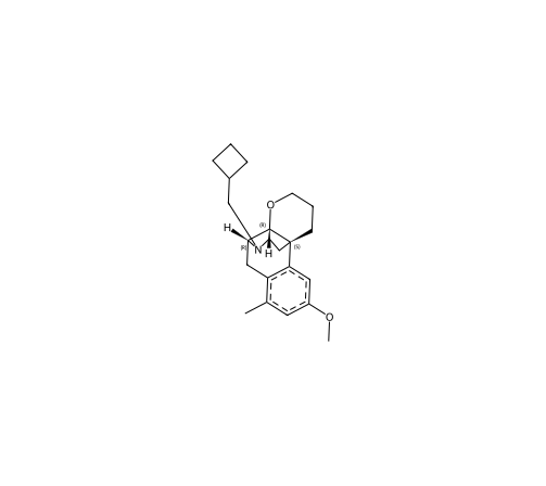 COc1cc(C)c2c(c1)[C@@]13CCCO[C@H]1[C@@H](C2)N(CC1CCC1)CC3